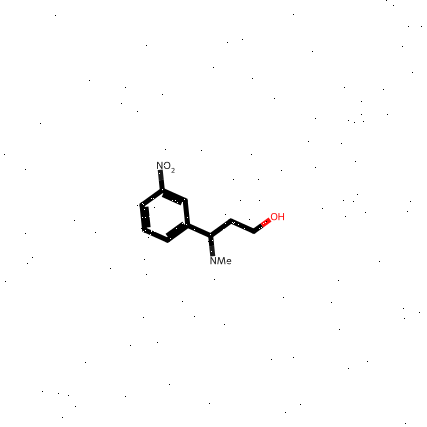 CNC(CCO)c1cccc([N+](=O)[O-])c1